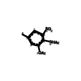 CC(=O)Nc1c(OC(C)=O)cc(C)cc1[N+](=O)[O-]